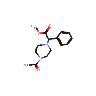 COC(=O)C(c1ccccc1)N1CCN(C(C)=O)CC1